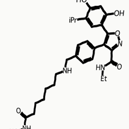 CCNC(=O)c1noc(-c2cc(C(C)C)c(O)cc2O)c1-c1ccc(CNCCCCCCC(=O)NO)cc1